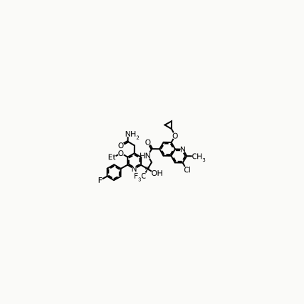 CCOc1c(CC(N)=O)cc([C@@](O)(CNC(=O)c2cc(OC3CC3)c3nc(C)c(Cl)cc3c2)C(F)(F)F)nc1-c1ccc(F)cc1